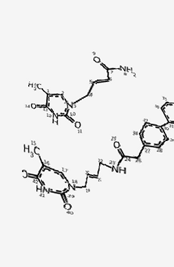 Cc1cn(CC=CC(N)=O)c(=O)[nH]c1=O.Cc1cn(CC=CCNC(=O)Cc2ccc(-c3ccccc3)cc2)c(=O)[nH]c1=O